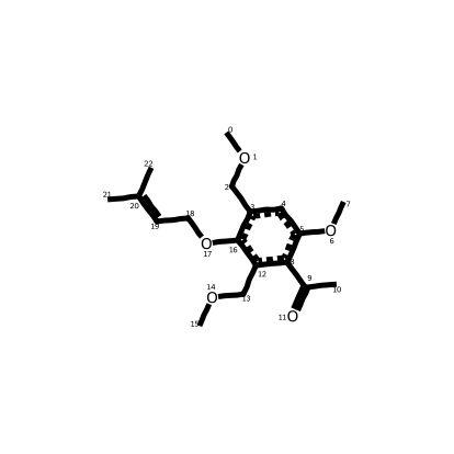 COCc1cc(OC)c(C(C)=O)c(COC)c1OCC=C(C)C